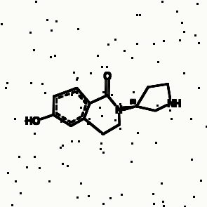 O=C1c2ccc(O)cc2CCN1[C@H]1CCNC1